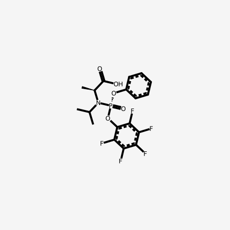 CC(C)N([C@@H](C)C(=O)O)[P@](=O)(Oc1ccccc1)Oc1c(F)c(F)c(F)c(F)c1F